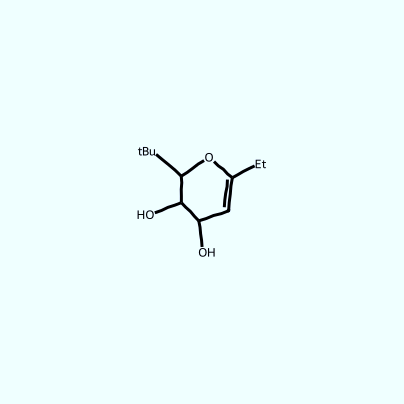 CCC1=CC(O)C(O)C(C(C)(C)C)O1